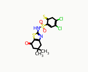 CC1(C)CC(=O)c2sc(NS(=O)(=O)C3=CC(Cl)=C(Cl)CC3=S)nc2C1